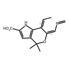 C=N/C=C1/OC(C)(C)c2cc(C(=O)O)[nH]c2/C1=C/C